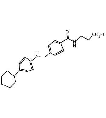 CCOC(=O)CCNC(=O)c1ccc(CNc2ccc(C3CCCCC3)cc2)cc1